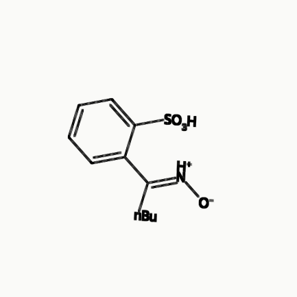 CCCCC(=[NH+][O-])c1ccccc1S(=O)(=O)O